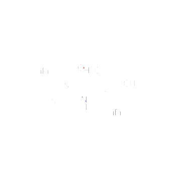 CC(C)C(C)(C)NS(=O)(=O)C(C)C